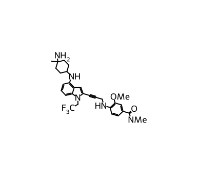 CNC(=O)c1ccc(NCC#Cc2cc3c(NC4CCC(C)(N)CC4)cccc3n2CC(F)(F)F)c(OC)c1